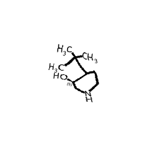 CC(C)(C)C1CCNC[C@H]1O